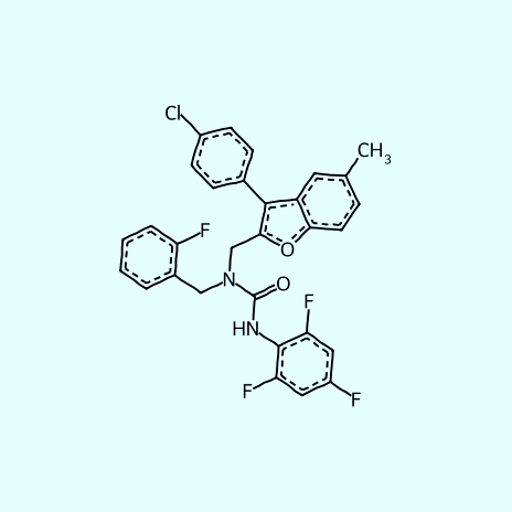 Cc1ccc2oc(CN(Cc3ccccc3F)C(=O)Nc3c(F)cc(F)cc3F)c(-c3ccc(Cl)cc3)c2c1